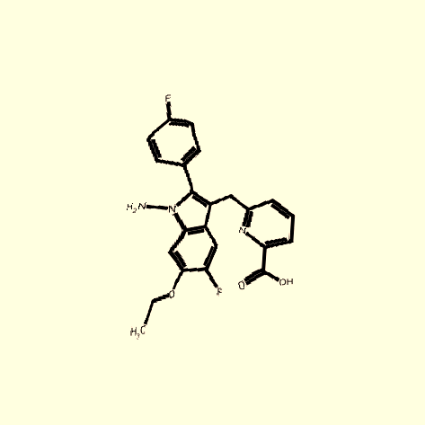 CCOc1cc2c(cc1F)c(Cc1cccc(C(=O)O)n1)c(-c1ccc(F)cc1)n2N